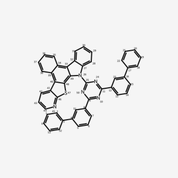 c1ccc(-c2cccc(-c3nc(-c4cccc(-c5ccccc5)c4)nc(-n4c5ccccc5c5c6ccccc6c6c7cccnc7sc6c54)n3)c2)cc1